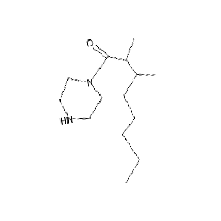 CCCCCC(C)C(C)C(=O)N1CCNCC1